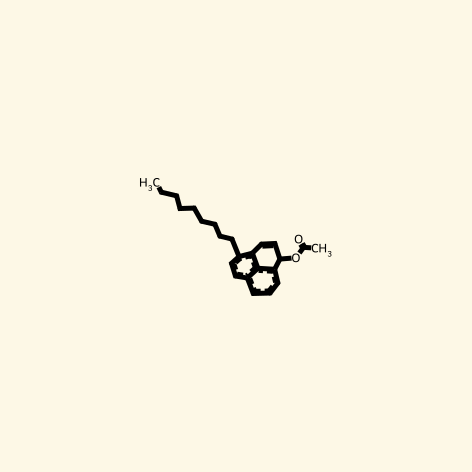 CCCCCCCCCc1ccc2cccc3c2c1C=CC3OC(C)=O